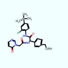 COCc1ccc(C(NC(=O)Cn2cnccc2=O)C(=O)Nc2ccc([Si](C)(C)C)cc2F)cc1